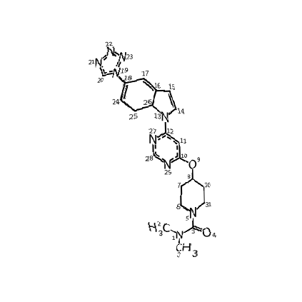 CN(C)C(=O)N1CCC(Oc2cc(N3C=CC4=CC(n5cnnn5)=CCC43)ncn2)CC1